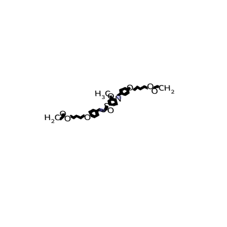 C=CC(=O)OCCCCCOc1ccc(/C=C/C(=O)Sc2ccc(/N=C/c3ccc(OCCCCCOC(=O)C=C)cc3)c(OC)c2)cc1